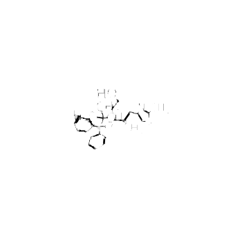 C/C(=C\c1csc(C)n1)[C@H](CCO)O[Si](c1ccccc1)(c1ccccc1)C(C)(C)C